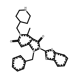 Cc1c2c(=O)n(-c3nc4ccccc4s3)n(Cc3ccccc3)c2cc(=O)n1CC1CCNCC1